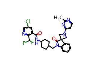 Cc1nccc(N2CC3(C2)C(=O)N(CC2CCC(NC(=O)c4cc(Cl)cnc4C(F)F)CC2)c2ccccc23)n1